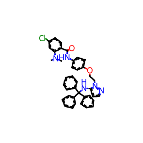 CN(C)c1cc(Cl)ccc1C(=O)Nc1ccc(OCCn2nccc2NC(c2ccccc2)(c2ccccc2)c2ccccc2)cc1